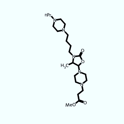 CCCN1CCN(CCCCN2C(=O)OC(N3CCN(CCC(=O)OC)CC3)C2C)CC1